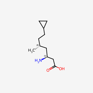 C[C@H](CCC1CC1)C[C@H](N)CC(=O)O